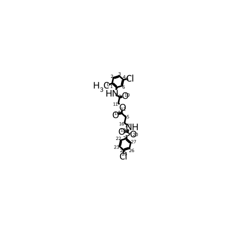 Cc1ccc(Cl)cc1NC(=O)COC(=O)CCNS(=O)(=O)c1ccc(Cl)cc1